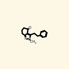 Cn1nc2c(c1CCc1ccccc1)C(=O)CCC2